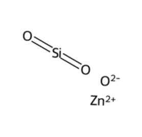 O=[Si]=O.[O-2].[Zn+2]